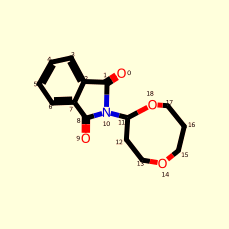 O=C1c2ccccc2C(=O)N1C1CCOCCCO1